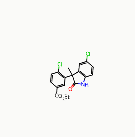 CCOC(=O)c1ccc(Cl)c(C2(C)C(=O)Nc3ccc(Cl)cc32)c1